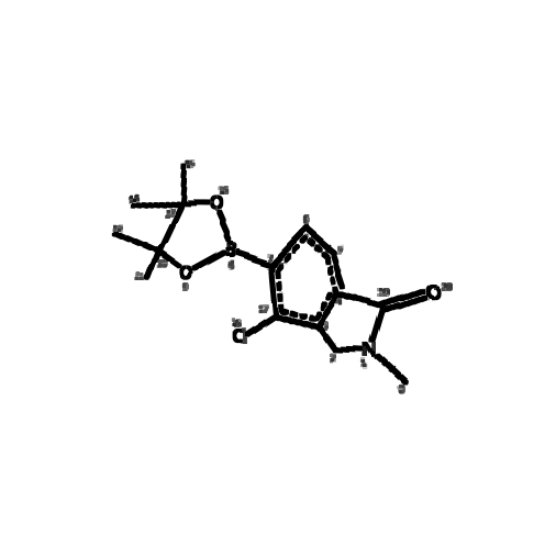 CN1Cc2c(ccc(B3OC(C)(C)C(C)(C)O3)c2Cl)C1=O